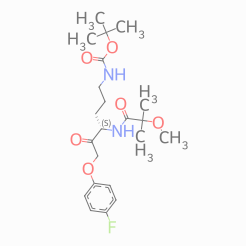 COC(C)(C)C(=O)N[C@@H](CCCNC(=O)OC(C)(C)C)C(=O)COc1ccc(F)cc1